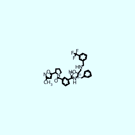 Cc1cc(C2CCCN2C(=O)c2cccc(C(=O)N[C@@H](Cc3ccccc3)[C@@H](O)CNCc3cccc(C(F)(F)F)c3)c2)on1